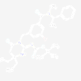 CCC1(CC)CC(=O)N(Cc2cc(F)cc(C(=O)N(C)C(C)c3ccccc3)c2)C(=NC(=O)OC(C)(C)C)N1